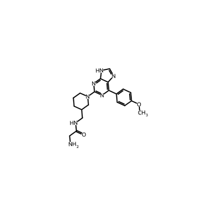 COc1ccc(-c2nc(N3CCCC(CNC(=O)CN)C3)nc3[nH]cnc23)cc1